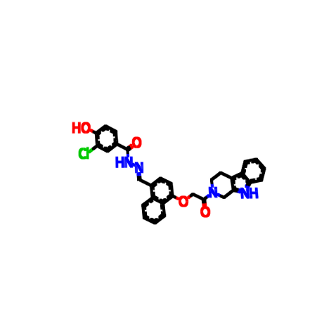 O=C(N/N=C/c1ccc(OCC(=O)N2CCc3c([nH]c4ccccc34)C2)c2ccccc12)c1ccc(O)c(Cl)c1